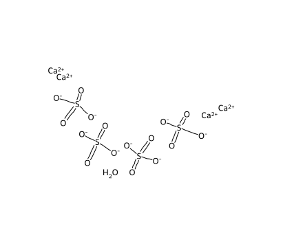 O.O=S(=O)([O-])[O-].O=S(=O)([O-])[O-].O=S(=O)([O-])[O-].O=S(=O)([O-])[O-].[Ca+2].[Ca+2].[Ca+2].[Ca+2]